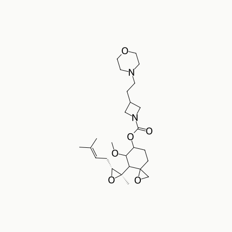 COC1C(OC(=O)N2CC(CCN3CCOCC3)C2)CCC2(CO2)C1[C@@]1(C)O[C@@H]1CC=C(C)C